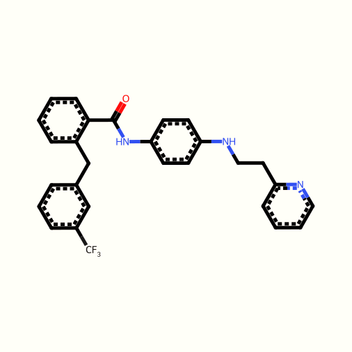 O=C(Nc1ccc(NCCc2ccccn2)cc1)c1ccccc1Cc1cccc(C(F)(F)F)c1